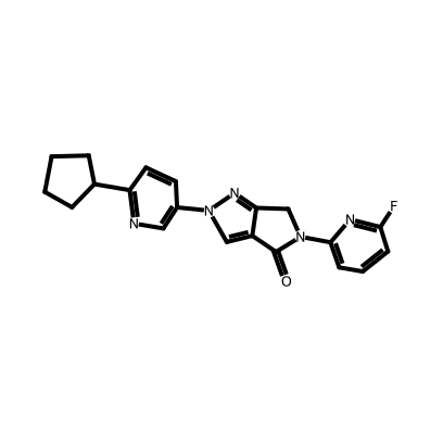 O=C1c2cn(-c3ccc(C4CCCC4)nc3)nc2CN1c1cccc(F)n1